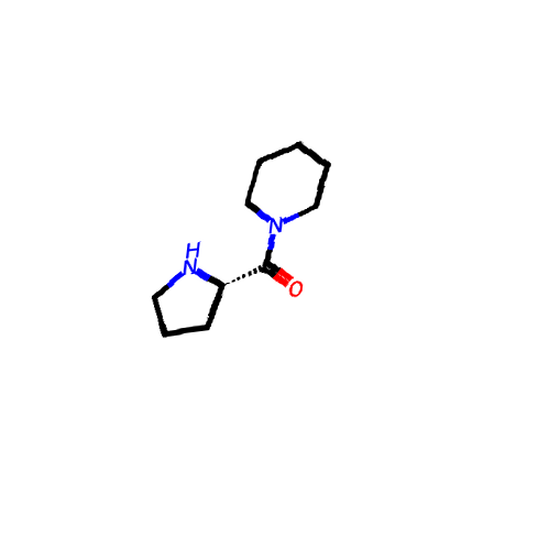 O=C([C@@H]1CCCN1)N1CCCCC1